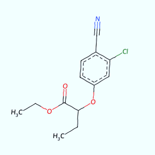 CCOC(=O)C(CC)Oc1ccc(C#N)c(Cl)c1